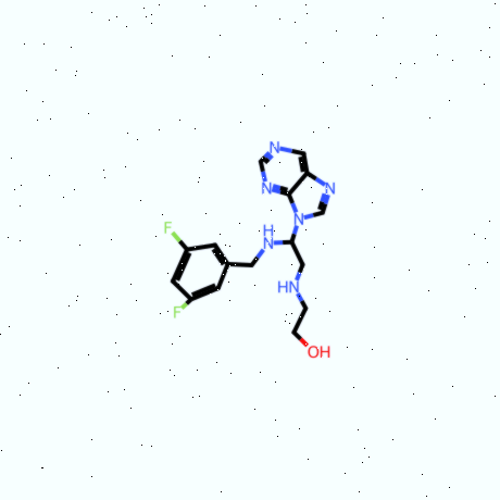 OCCNCC(NCc1cc(F)cc(F)c1)n1cnc2cncnc21